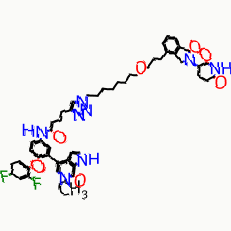 Cn1cc(-c2cc(NC(=O)CCCc3cn(CCCCCCCCOCCCc4cccc5c4CN(C4CCC(=O)NC4=O)C5=O)nn3)ccc2OC2=CCC(F)C=C2F)c2cc[nH]c2c1=O